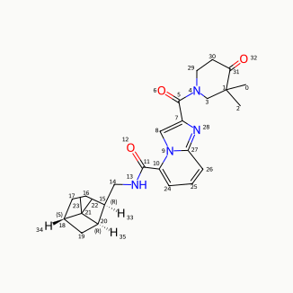 CC1(C)CN(C(=O)c2cn3c(C(=O)NC[C@@H]4CC[C@H]5C[C@H]4C5(C)C)cccc3n2)CCC1=O